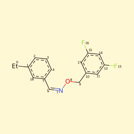 CCc1cccc(/[C]=N\OCc2cc(F)cc(F)c2)c1